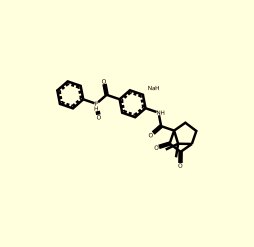 CC1(C)C2CCC1(C(=O)Nc1ccc(C(=O)[PH](=O)c3ccccc3)cc1)C(=O)C2=O.[NaH]